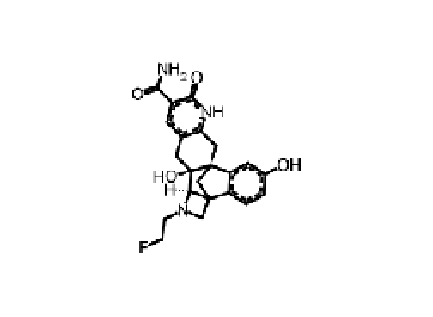 NC(=O)c1cc2c([nH]c1=O)C[C@@]13CC4(CN(CCF)[C@H]4[C@]1(O)C2)c1ccc(O)cc13